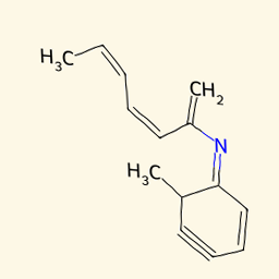 C=C(/C=C\C=C/C)/N=C1/C=CC#CC1C